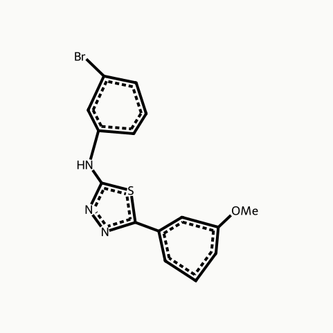 COc1cccc(-c2nnc(Nc3cccc(Br)c3)s2)c1